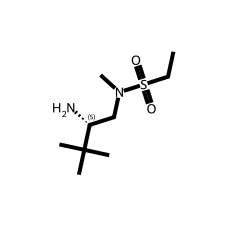 CCS(=O)(=O)N(C)C[C@@H](N)C(C)(C)C